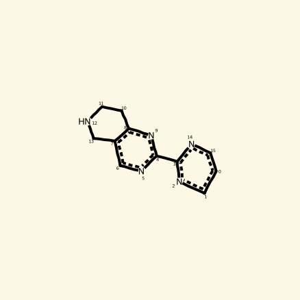 c1cnc(-c2ncc3c(n2)CCNC3)nc1